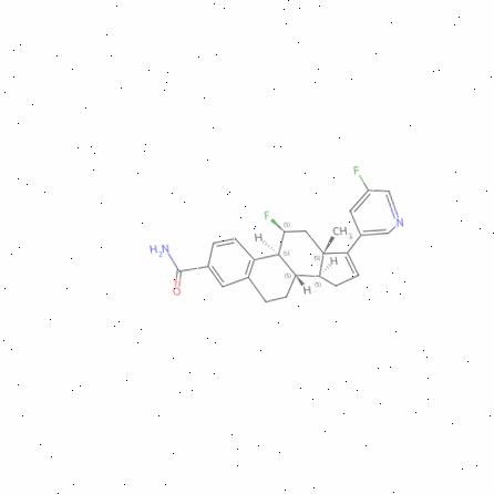 C[C@]12C[C@H](F)[C@@H]3c4ccc(C(N)=O)cc4CC[C@H]3[C@@H]1CC=C2c1cncc(F)c1